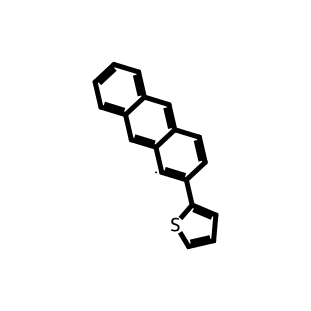 [c]1c(-c2cccs2)ccc2cc3ccccc3cc12